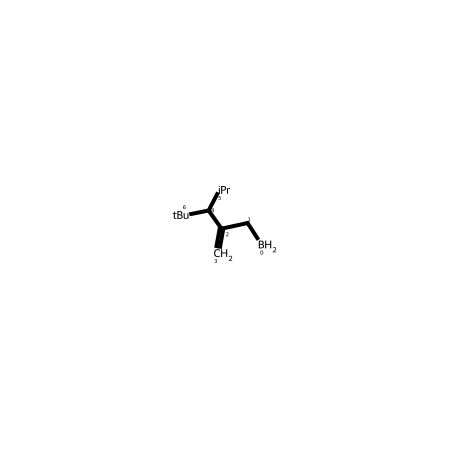 BCC(=C)C(C(C)C)C(C)(C)C